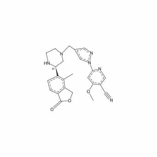 COc1cc(-n2cc(CN3CCN[C@H](c4ccc5c(c4C)COC5=O)C3)cn2)ncc1C#N